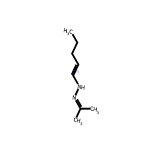 CCC/C=C/NN=C(C)C